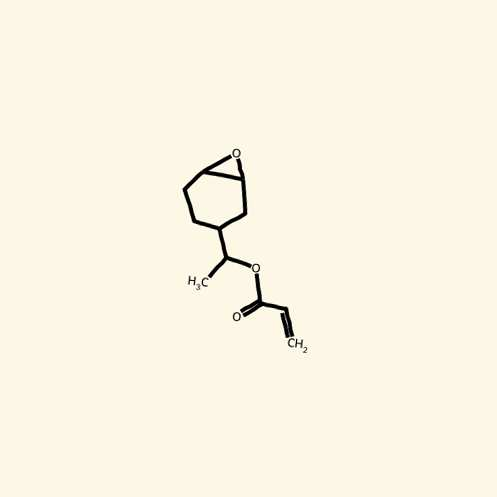 C=CC(=O)OC(C)C1CCC2OC2C1